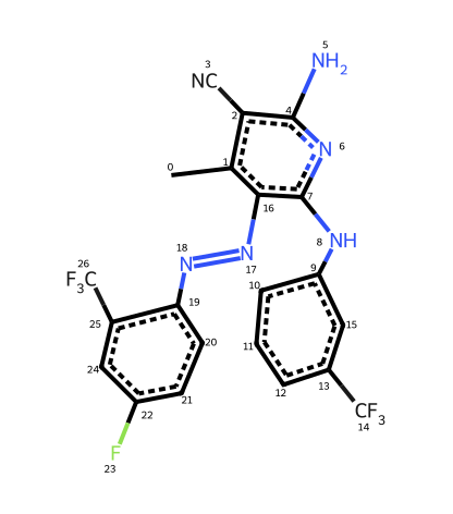 Cc1c(C#N)c(N)nc(Nc2cccc(C(F)(F)F)c2)c1N=Nc1ccc(F)cc1C(F)(F)F